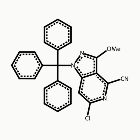 COc1nn(C(c2ccccc2)(c2ccccc2)c2ccccc2)c2cc(Cl)nc(C#N)c12